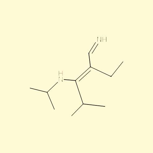 CC/C(C=N)=C(/NC(C)C)C(C)C